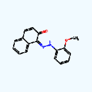 COc1ccccc1NN=C1C(=O)C=Cc2ccccc21